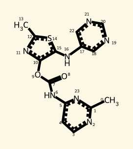 Cc1nccc(NC(=O)Oc2nc(C)sc2Nc2cncnc2)n1